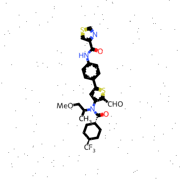 COCC(C)N(c1cc(-c2ccc(NC(=O)c3cscn3)cc2)sc1C=O)C(=O)[C@H]1CC[C@H](C(F)(F)F)CC1